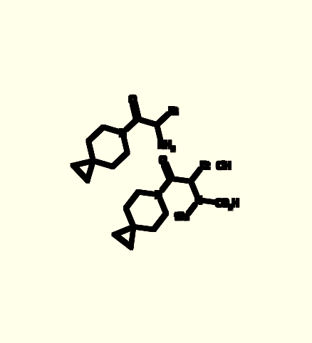 CCC(C(=O)N1CCC2(CC1)CC2)N(C(=O)O)C(C)(C)C.CCC(N)C(=O)N1CCC2(CC1)CC2.Cl